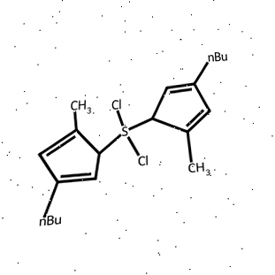 CCCCC1=CC(S(Cl)(Cl)C2C=C(CCCC)C=C2C)C(C)=C1